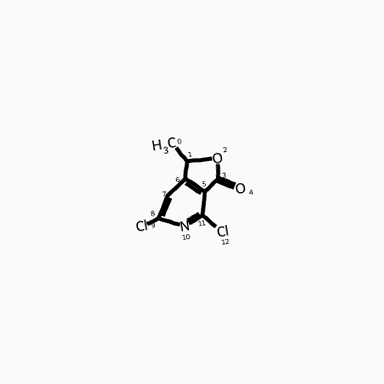 CC1OC(=O)c2c1cc(Cl)nc2Cl